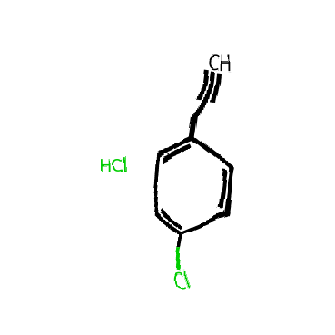 C#Cc1ccc(Cl)cc1.Cl